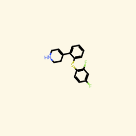 Fc1ccc(Sc2ccccc2C2=CCNCC2)c(F)c1